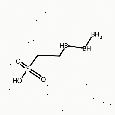 BBBCCS(=O)(=O)O